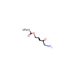 CCCCCC(=O)OCC=CC(=O)CN